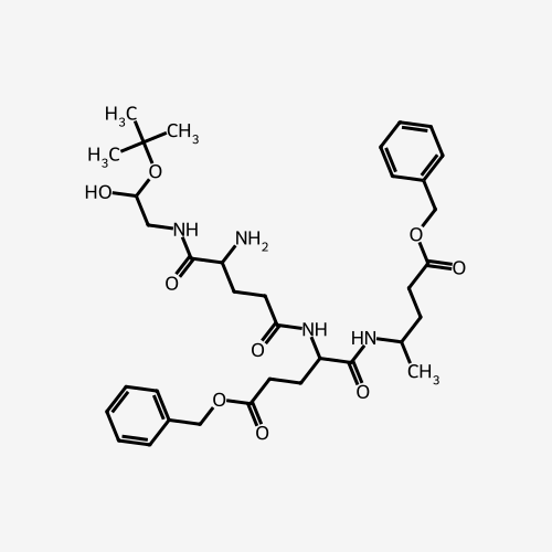 CC(CCC(=O)OCc1ccccc1)NC(=O)C(CCC(=O)OCc1ccccc1)NC(=O)CCC(N)C(=O)NCC(O)OC(C)(C)C